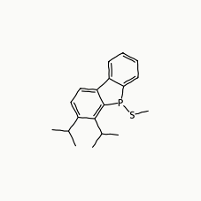 CSp1c2ccccc2c2ccc(C(C)C)c(C(C)C)c21